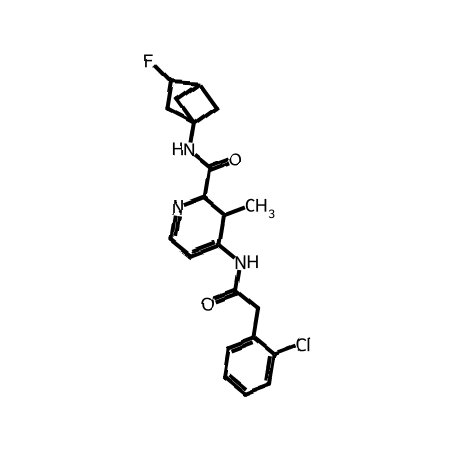 CC1C(NC(=O)Cc2ccccc2Cl)=CC=NC1C(=O)NC12CC(F)C(C1)C2